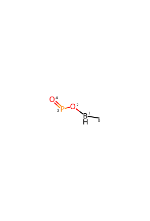 CBOP=O